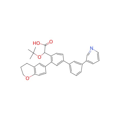 CC(C)(C)OC(C(=O)O)c1ccc(-c2cccc(-c3cccnc3)c2)cc1-c1ccc2c(c1)CCCO2